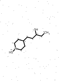 CCC(S)CCC1CCN(S)CC1